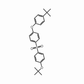 CC(C)(C)Oc1ccc(S(=O)(=O)c2ccc(Oc3ccc(C(C)(C)C)cc3)cc2)cc1